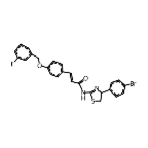 O=C(/C=C/c1ccc(OCc2cccc(F)c2)cc1)NC1=NC(c2ccc(Br)cc2)CS1